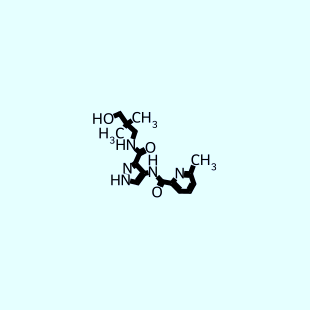 Cc1cccc(C(=O)Nc2c[nH]nc2C(=O)NCC(C)(C)CO)n1